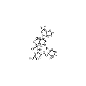 CCC(C(=O)NC(CC(=O)O)C(=O)COc1c(F)cccc1F)c1ccnn(Cc2ccccc2C(C)(C)C)c1=O